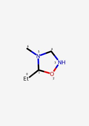 CCC1ONCN1C